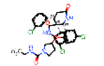 CCNC(=O)N1CCC(Oc2ccc(Cl)cc2[C@H]2NC(=O)C[C@@H](c3cccc(Cl)c3)[C@]23C(=O)Nc2cc(Cl)ccc23)C1